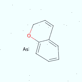 C1=Cc2ccccc2OC1.[As]